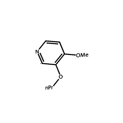 CCCOc1[c]nccc1OC